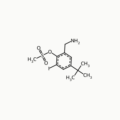 CC(C)(C)c1cc(I)c(OS(C)(=O)=O)c(CN)c1